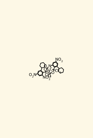 O=C(OC(c1c(C2CCCCC2)cc([N+](=O)[O-])cc1[N+](=O)[O-])(C(F)(F)F)C(F)(F)F)OC(c1c(C2CCCCC2)cc([N+](=O)[O-])cc1[N+](=O)[O-])(C(F)(F)F)C(F)(F)F